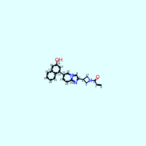 C=CC(=O)N1CC(c2cn3cc(-c4cc(O)cc5ccccc45)ccc3n2)C1